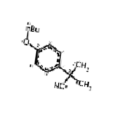 CCCCOc1ccc(C(C)(C)C#N)cc1